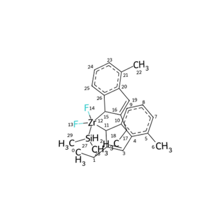 CCC1=Cc2c(C)cccc2[CH]1[Zr]([F])([F])([CH]1C(CC)=Cc2c(C)cccc21)[SiH](C)C